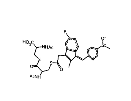 CC(=O)NC(CSC(=O)C(CSC(=O)CC1=C(C)/C(=C/c2ccc([S+](C)[O-])cc2)c2ccc(F)cc21)NC(C)=O)C(=O)O